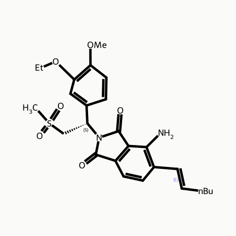 CCCC/C=C/c1ccc2c(c1N)C(=O)N([C@H](CS(C)(=O)=O)c1ccc(OC)c(OCC)c1)C2=O